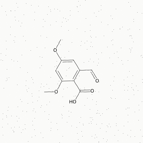 COc1cc(C=O)c(C(=O)O)c(OC)c1